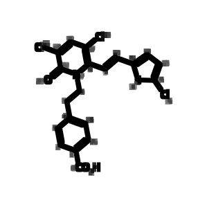 O=C(O)c1ccc(CCn2c(/C=C/c3ccc(Cl)s3)c(Cl)cc(Cl)c2=O)cc1